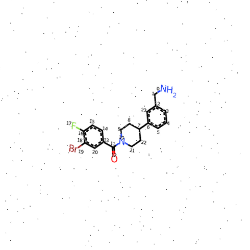 NCc1cccc(C2CCN(C(=O)c3ccc(F)c(Br)c3)CC2)c1